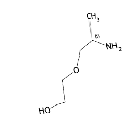 C[C@H](N)COCCO